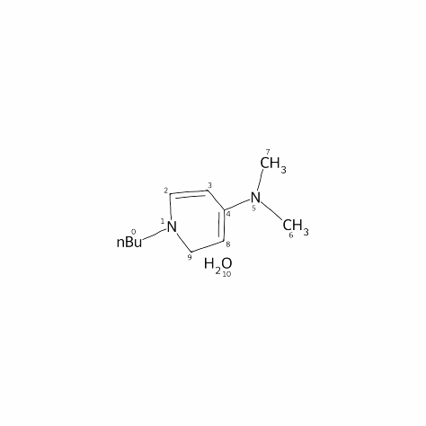 CCCCN1C=CC(N(C)C)=CC1.O